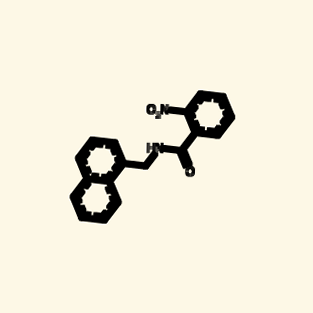 O=C(NCc1cccc2ccccc12)c1ccccc1[N+](=O)[O-]